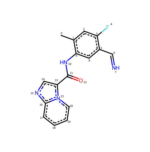 Cc1cc(F)c(C=N)cc1NC(=O)c1cnc2ccccn12